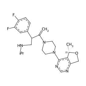 C=C(C(CNC(C)C)c1ccc(F)c(F)c1)N1CCN(c2ncnc3c2[C@H](C)OC3)CC1